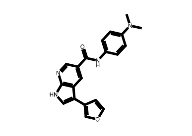 CN(C)c1ccc(NC(=O)c2cnc3[nH]cc(-c4ccoc4)c3c2)cc1